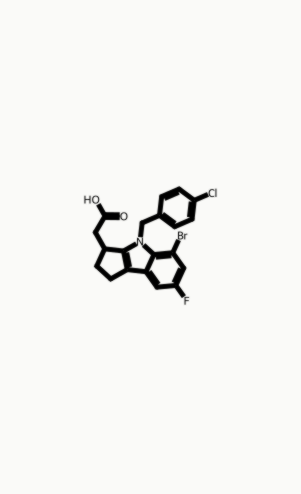 O=C(O)CC1CCc2c1n(Cc1ccc(Cl)cc1)c1c(Br)cc(F)cc21